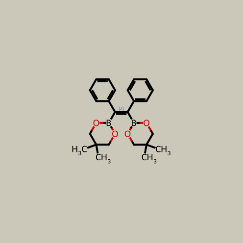 CC1(C)COB(/C(=C(\B2OCC(C)(C)CO2)c2ccccc2)c2ccccc2)OC1